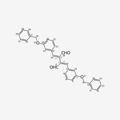 O=CC(=C\c1cccc(OCc2ccccc2)c1)/C(C=O)=C/c1cccc(OCc2ccccc2)c1